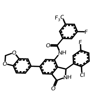 O=C(Nc1cc(-c2ccc3c(c2)OCO3)cc2c1C(c1cc(F)ccc1Cl)NC2=O)c1cc(F)cc(C(F)(F)F)c1